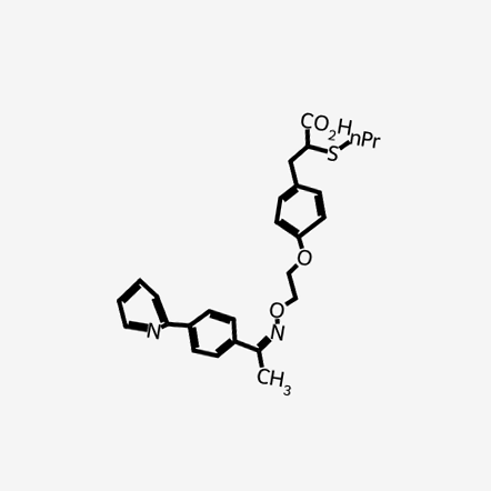 CCCSC(Cc1ccc(OCCO/N=C(/C)c2ccc(-c3ccccn3)cc2)cc1)C(=O)O